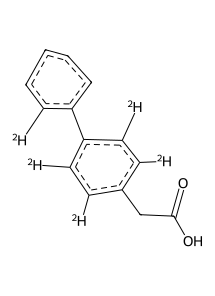 [2H]c1ccccc1-c1c([2H])c([2H])c(CC(=O)O)c([2H])c1[2H]